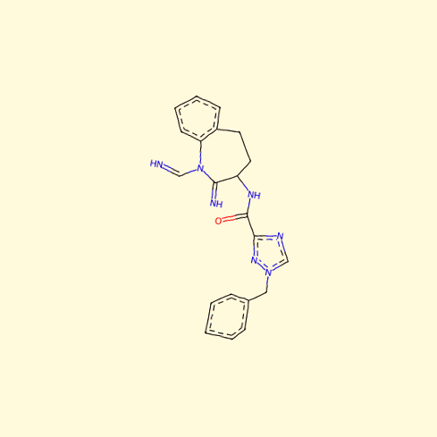 N=CN1C(=N)C(NC(=O)c2ncn(Cc3ccccc3)n2)CCc2ccccc21